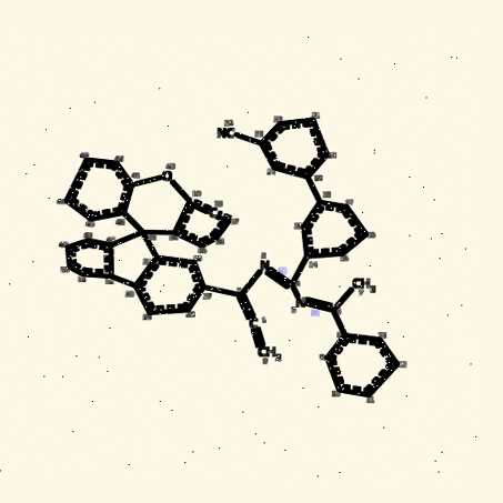 C=C=C(/N=C(\N=C(/C)c1ccccc1)c1cccc(-c2cccc(C#N)c2)c1)c1ccc2c(c1)C1(c3ccccc3Oc3ccccc31)c1ccccc1-2